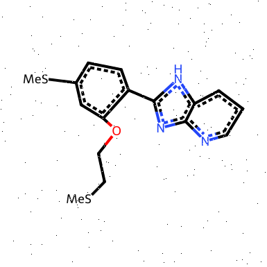 CSCCOc1cc(SC)ccc1-c1nc2ncccc2[nH]1